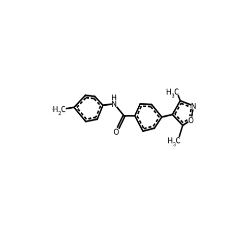 [CH2]c1ccc(NC(=O)c2ccc(-c3c(C)noc3C)cc2)cc1